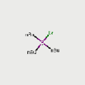 CCCC[P](Br)(CCCC)CCCC